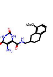 COc1cccc2c1CC(CNC(=O)c1[nH]c(=O)[nH]c(=O)c1N)CC2